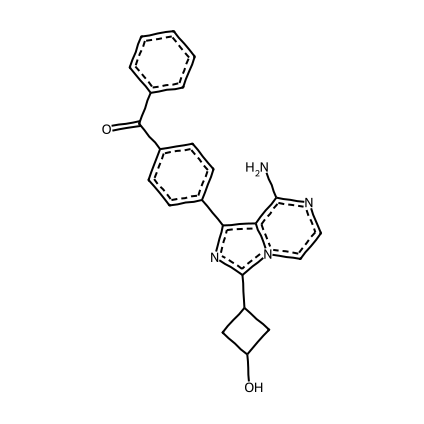 Nc1nccn2c(C3CC(O)C3)nc(-c3ccc(C(=O)c4ccccc4)cc3)c12